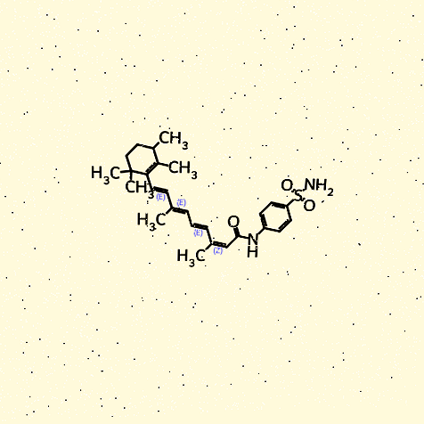 CC1=C(/C=C/C(C)=C/C=C/C(C)=C\C(=O)Nc2ccc(S(N)(=O)=O)cc2)C(C)(C)CCC1C